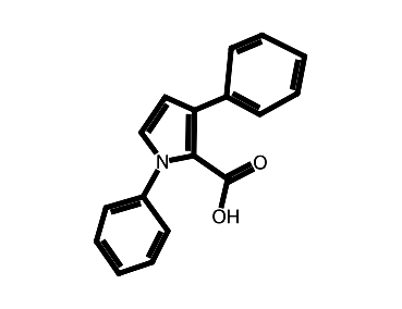 O=C(O)c1c(-c2ccccc2)ccn1-c1ccccc1